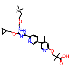 Cc1cc(OCC(C)(C)C(=O)O)ncc1-c1ccc(-c2nc(OCC3CC3)n(COCC[Si](C)(C)C)n2)nc1